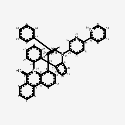 O=c1c2ccccc2c2cccc3c2n1-c1ccccc1C31c2ccccc2N(c2ccc(-c3ccccn3)nc2)c2ccc(-c3ccccc3)cc21